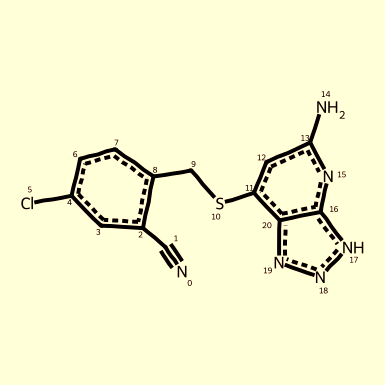 N#Cc1cc(Cl)ccc1CSc1cc(N)nc2[nH]nnc12